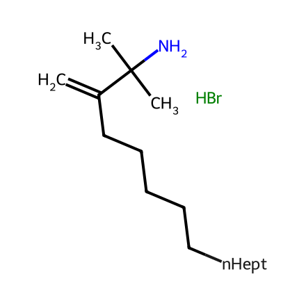 Br.C=C(CCCCCCCCCCCC)C(C)(C)N